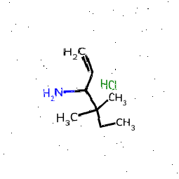 C=CC(N)C(C)(C)CC.Cl